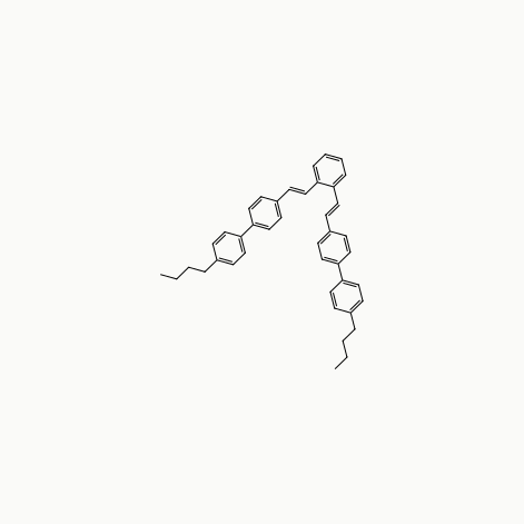 CCCCc1ccc(-c2ccc(C=Cc3ccccc3C=Cc3ccc(-c4ccc(CCCC)cc4)cc3)cc2)cc1